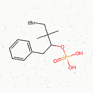 CC(C)(C)CC(C)(C)C(Cc1ccccc1)OP(=O)(O)O